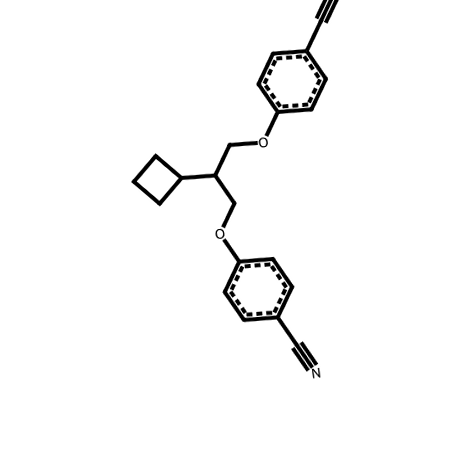 N#Cc1ccc(OCC(COc2ccc(C#N)cc2)C2CCC2)cc1